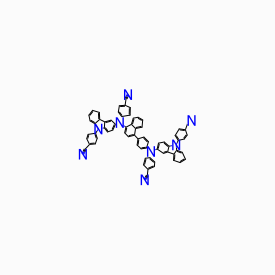 N#Cc1ccc(N(c2ccc(-c3ccc(N(c4ccc(C#N)cc4)c4ccc5c(c4)c4ccccc4n5-c4ccc(C#N)cc4)c4ccccc34)cc2)c2ccc3c(c2)c2ccccc2n3-c2ccc(C#N)cc2)cc1